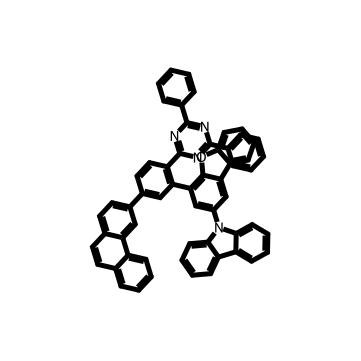 c1ccc(-c2nc(-c3ccccc3)nc(-c3ccc(-c4ccc5ccc6ccccc6c5c4)cc3-c3cc(-n4c5ccccc5c5ccccc54)cc4c3oc3ccccc34)n2)cc1